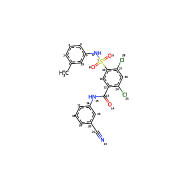 Cc1cccc(NS(=O)(=O)c2cc(C(=O)Nc3cccc(C#N)c3)c(Cl)cc2Cl)c1